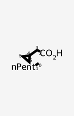 CCCCCC.O=C(O)CC1CC1